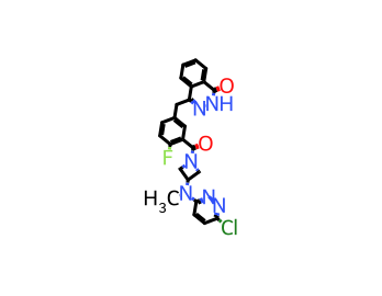 CN(c1ccc(Cl)nn1)C1CN(C(=O)c2cc(Cc3n[nH]c(=O)c4ccccc34)ccc2F)C1